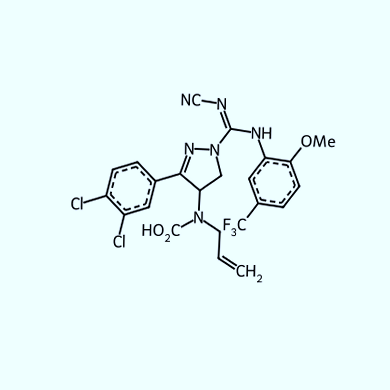 C=CCN(C(=O)O)C1CN(C(=NC#N)Nc2cc(C(F)(F)F)ccc2OC)N=C1c1ccc(Cl)c(Cl)c1